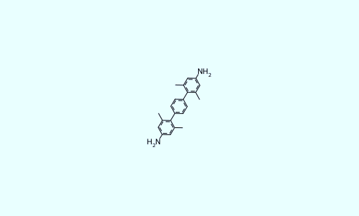 Cc1cc(N)cc(C)c1-c1ccc(-c2c(C)cc(N)cc2C)cc1